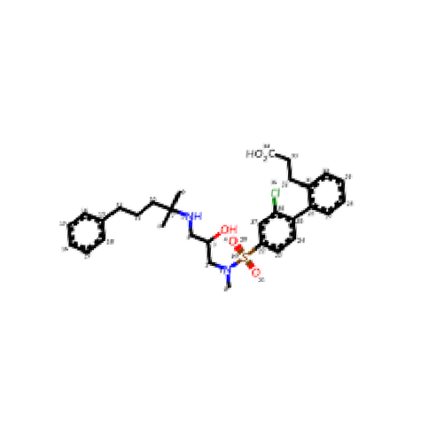 CN(CC(O)CNC(C)(C)CCCc1ccccc1)S(=O)(=O)c1ccc(-c2ccccc2CCC(=O)O)c(Cl)c1